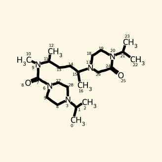 CC(C)N1CCN(C(=O)N(C)C(C)CCC(C)N2CCN(C(C)C)C(=O)C2)CC1